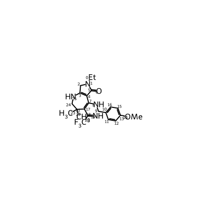 CCN1CC2=C(C1=O)C(NCc1ccc(OC)cc1)=C(C(=N)C(F)(F)F)C(C)(C)CN2